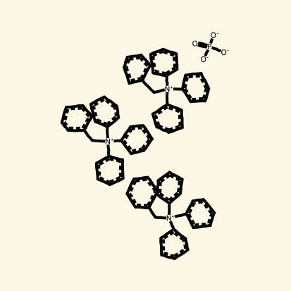 O=P([O-])([O-])[O-].c1ccc(C[N+](c2ccccc2)(c2ccccc2)c2ccccc2)cc1.c1ccc(C[N+](c2ccccc2)(c2ccccc2)c2ccccc2)cc1.c1ccc(C[N+](c2ccccc2)(c2ccccc2)c2ccccc2)cc1